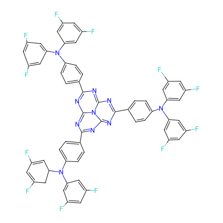 FC1=CC(N(c2ccc(C3=NC4=NC(c5ccc(N(c6cc(F)cc(F)c6)c6cc(F)cc(F)c6)cc5)=NC5=NC(c6ccc(N(c7cc(F)cc(F)c7)c7cc(F)cc(F)c7)cc6)=NC(=N3)N54)cc2)c2cc(F)cc(F)c2)CC(F)=C1